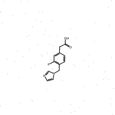 O=C(O)Cc1ccc(Cn2ccnc2)c(F)c1